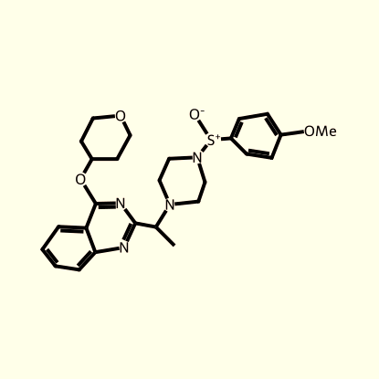 COc1ccc([S+]([O-])N2CCN(C(C)c3nc(OC4CCOCC4)c4ccccc4n3)CC2)cc1